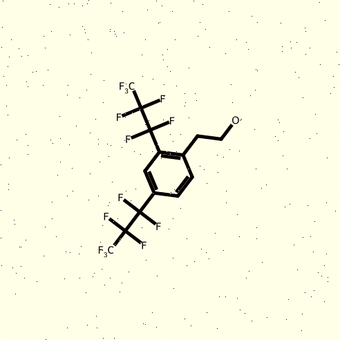 [O]CCc1ccc(C(F)(F)C(F)(F)C(F)(F)F)cc1C(F)(F)C(F)(F)C(F)(F)F